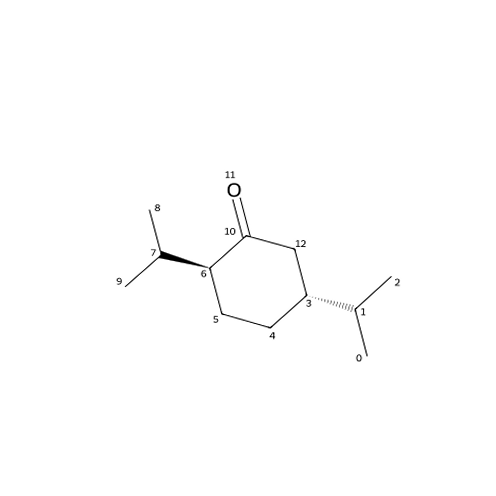 CC(C)[C@@H]1CC[C@@H](C(C)C)C(=O)C1